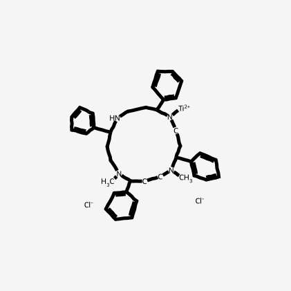 CN1CCC(c2ccccc2)NCCC(c2ccccc2)[N]([Ti+2])CCC(c2ccccc2)N(C)CCC1c1ccccc1.[Cl-].[Cl-]